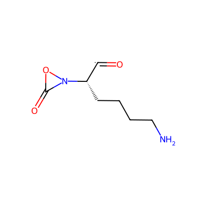 NCCCC[C@@H]([C]=O)N1OC1=O